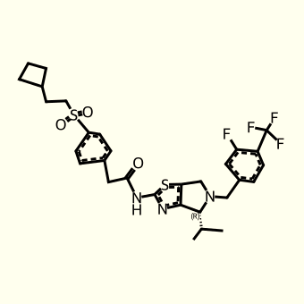 CC(C)[C@@H]1c2nc(NC(=O)Cc3ccc(S(=O)(=O)CCC4CCC4)cc3)sc2CN1Cc1ccc(C(F)(F)F)c(F)c1